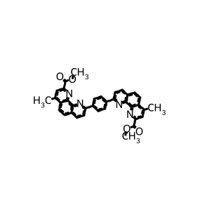 COC(=O)c1cc(C)c2ccc3ccc(-c4ccc(-c5ccc6ccc7c(C)cc(C(=O)OC)nc7c6n5)cc4)nc3c2n1